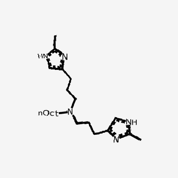 CCCCCCCCN(CCCc1c[nH]c(C)n1)CCCc1c[nH]c(C)n1